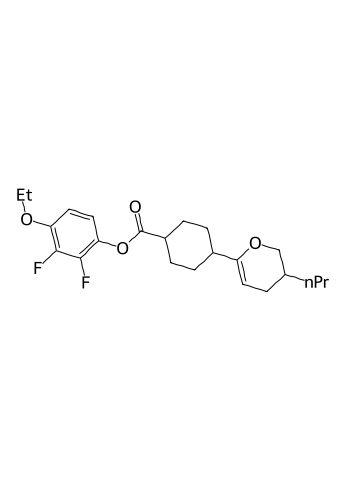 CCCC1CC=C(C2CCC(C(=O)Oc3ccc(OCC)c(F)c3F)CC2)OC1